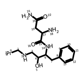 CC(C)CNCC(O)C(Cc1ccccc1)NC(=O)C(N)CC(N)=O